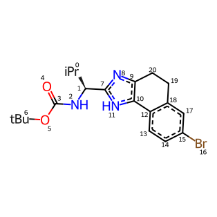 CC(C)[C@H](NC(=O)OC(C)(C)C)c1nc2c([nH]1)-c1ccc(Br)cc1CC2